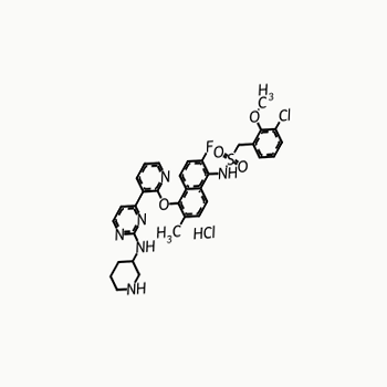 COc1c(Cl)cccc1CS(=O)(=O)Nc1c(F)ccc2c(Oc3ncccc3-c3ccnc(NC4CCCNC4)n3)c(C)ccc12.Cl